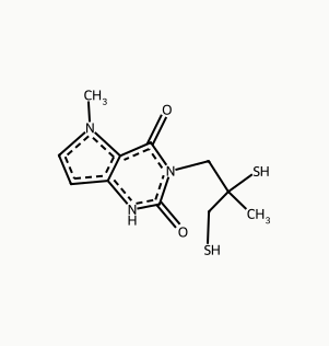 Cn1ccc2[nH]c(=O)n(CC(C)(S)CS)c(=O)c21